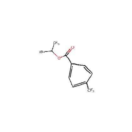 CCC(C)C(C)OC(=O)c1ccc(C(F)(F)F)cc1